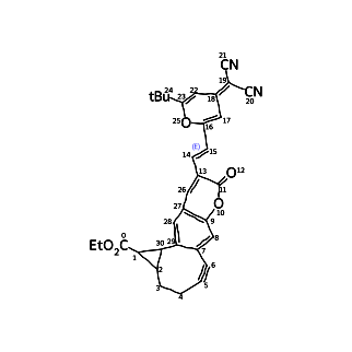 CCOC(=O)C1C2CCC#Cc3cc4oc(=O)c(/C=C/C5=CC(=C(C#N)C#N)C=C(C(C)(C)C)O5)cc4cc3C21